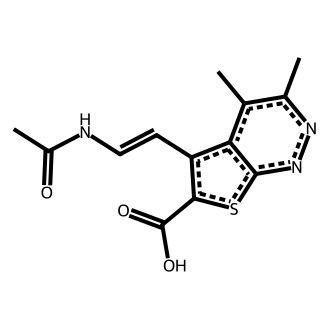 CC(=O)N/C=C/c1c(C(=O)O)sc2nnc(C)c(C)c12